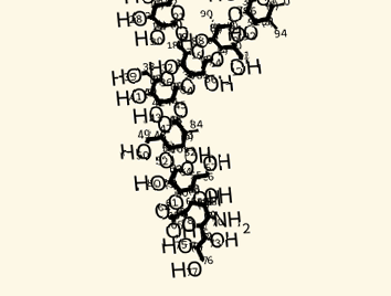 C[C@@H]1OC(CO)[C@@H](O[C@@H]2OC(CO)[C@@H](O[C@@H]3OC(CO[C@H]4OC(CO)[C@@H](O)C(O)[C@H]4O)[C@@H](O)C(O[C@H]4O[C@H](CO)[C@@H](O)C(O)C4O[C@@H]4OC(CO)[C@@H](O[C@@H]5OC(CO)[C@H](O)C(O[C@]6(C(=O)O)C[C@@H](O)[C@@H](N)C([C@H](O)[C@H](O)CO)O6)[C@@H]5O)C(O)[C@@H]4C)C3O)C(O)[C@@H]2C)C(O)[C@@H]1C